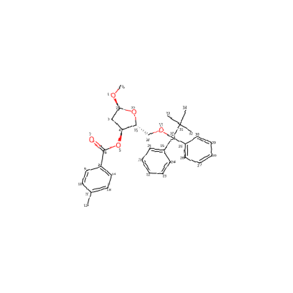 CO[C@@H]1C[C@H](OC(=O)c2ccc(C)cc2)[C@@H](CO[Si](c2ccccc2)(c2ccccc2)C(C)(C)C)O1